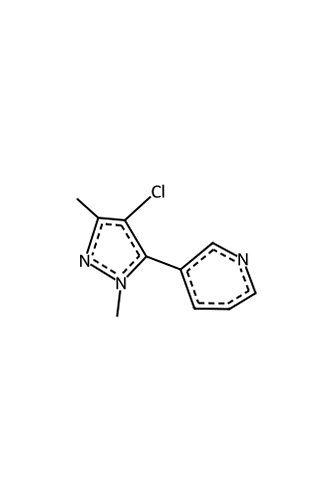 Cc1nn(C)c(-c2cccnc2)c1Cl